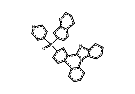 O=P(c1ccncc1)(c1ccc2cccnc2c1)c1ccc2c3ccccc3n3c4ccccc4nc3c2c1